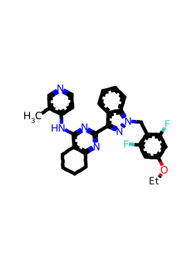 CCOc1cc(F)c(Cn2nc(-c3nc4c(c(Nc5ccncc5C)n3)CCCC4)c3ccccc32)c(F)c1